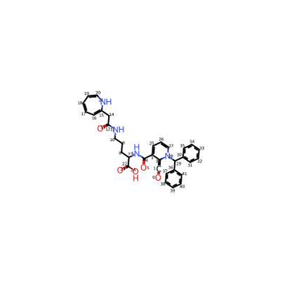 O=C=C1C(C(=O)NC(CCCNC(=O)CC2=CC=CC=CN2)C(=O)O)=CC=CN1C(c1ccccc1)c1ccccc1